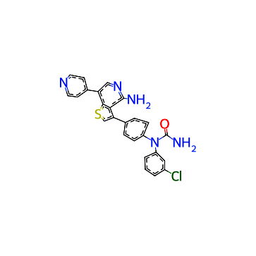 NC(=O)N(c1ccc(-c2csc3c(-c4ccncc4)cnc(N)c23)cc1)c1cccc(Cl)c1